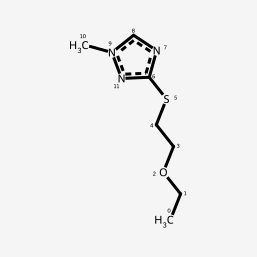 CCOCCSc1ncn(C)n1